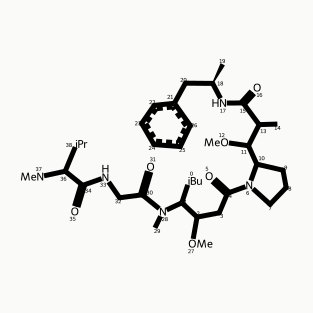 CCC(C)C(C(CC(=O)N1CCCC1C(OC)C(C)C(=O)N[C@H](C)Cc1ccccc1)OC)N(C)C(=O)CNC(=O)C(NC)C(C)C